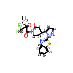 C[C@@](O)(C(=O)N1CCC(c2ccnn2-c2nc3ccccc3s2)CC1)C(F)(F)F